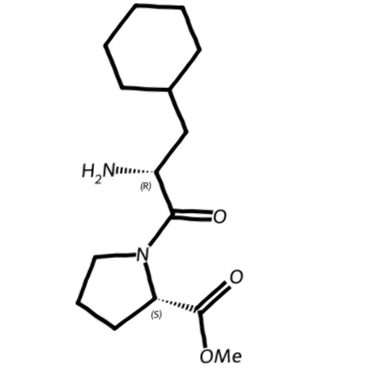 COC(=O)[C@@H]1CCCN1C(=O)[C@H](N)CC1CCCCC1